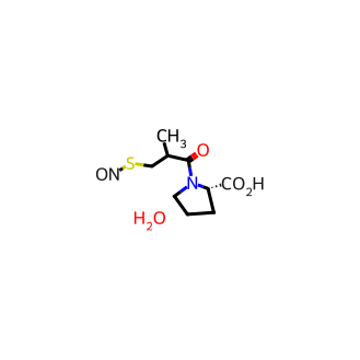 CC(CSN=O)C(=O)N1CCC[C@H]1C(=O)O.O